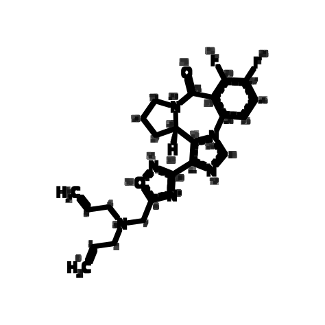 C=CCN(CC=C)Cc1nc(-c2ncn3c2[C@@H]2CCCN2C(=O)c2c-3ccc(F)c2F)no1